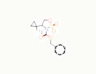 N#CC1(C2COS(=O)(=O)N2C(=O)OCc2ccccc2)CC1